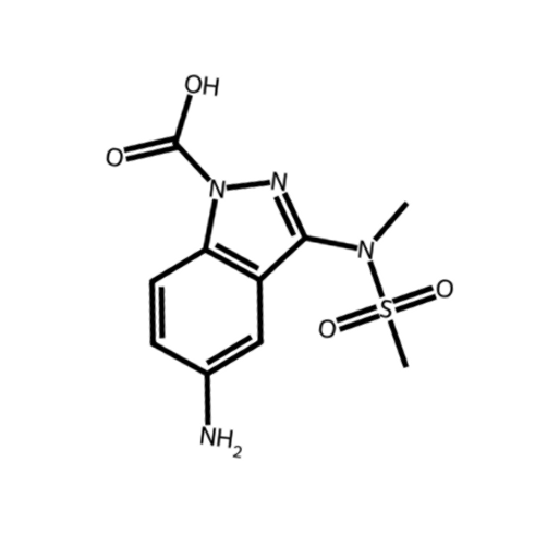 CN(c1nn(C(=O)O)c2ccc(N)cc12)S(C)(=O)=O